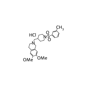 COc1cc2c(cc1OC)CN(CC1CCN(S(=O)(=O)c3cccc(C)c3)CC1)CC2.Cl